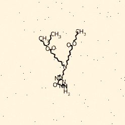 CCCCCOC(=O)CCCCCCCN(CCCCCCCC(=O)OC(CCCC)CCCCC)CCCn1cnc2c(=O)[nH]c(N)nc21